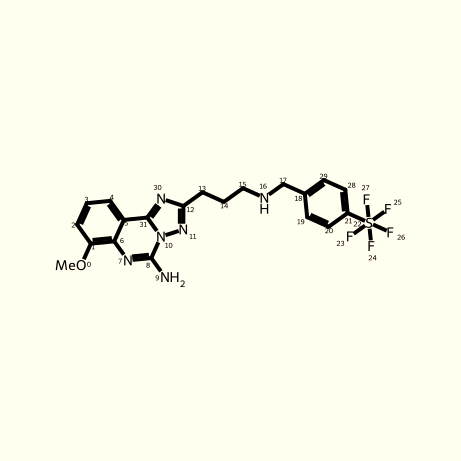 COc1cccc2c1nc(N)n1nc(CCCNCc3ccc(S(F)(F)(F)(F)F)cc3)nc21